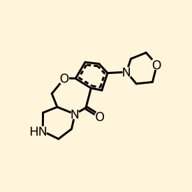 O=C1c2cc(N3CCOCC3)ccc2OCC2CNCCN12